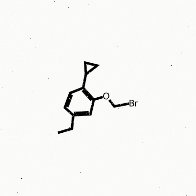 CCc1ccc(C2CC2)c(OCBr)c1